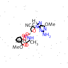 COC(=O)c1ccccc1OP(=O)(N[C@@H](C)C(=O)OC)OC[C@@H]1C[C@@](C)(C#N)[C@H](n2cnc3c(OC)nc(N)nc32)O1